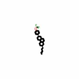 CC=CCC[C@H]1CCc2c(ccc3c2CC[C@H](c2ccc(OC(F)F)cc2)C3)C1